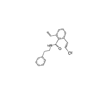 C=Cc1cccc(C=CC#N)c1C(=O)NCCc1ccccc1